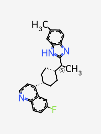 Cc1ccc2nc([C@@H](C)[C@H]3CC[C@@H](c4ccnc5ccc(F)cc54)CC3)[nH]c2c1